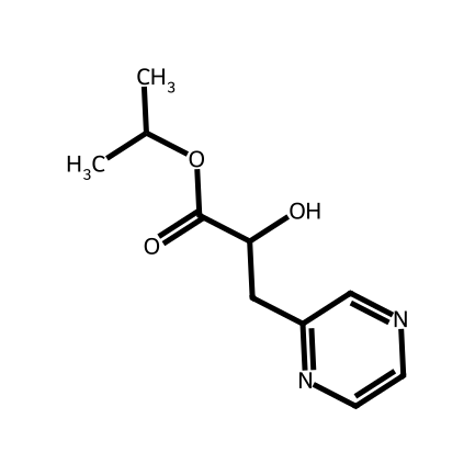 CC(C)OC(=O)C(O)Cc1cnccn1